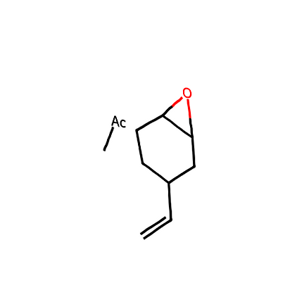 C=CC1CCC2OC2C1.CC(C)=O